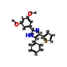 COc1cc(OC)cc(-c2nc(-c3cccs3)c(-c3ccccc3)[nH]2)c1